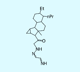 CCCC1C(CC)CCC2C1CCC1(C)C(C(=O)CN/N=C\C=N)C3CC3C21